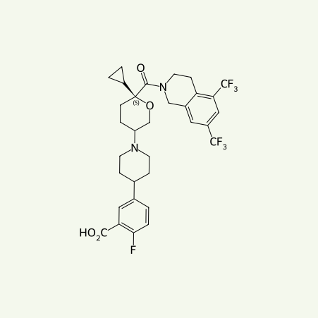 O=C(O)c1cc(C2CCN(C3CC[C@@](C(=O)N4CCc5c(cc(C(F)(F)F)cc5C(F)(F)F)C4)(C4CC4)OC3)CC2)ccc1F